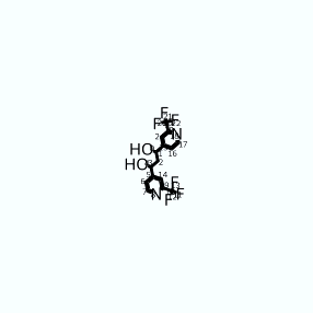 OC(CC(O)c1ccnc(C(F)(F)F)c1)c1ccnc(C(F)(F)F)c1